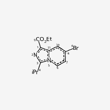 CCOC(=O)c1nc(C(C)C)n2ccc(Br)cc12